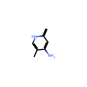 C=C1C=C(N)C(C)=CN1